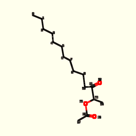 CCCCCCCCCCCC(=O)C(C)OC(C)=O